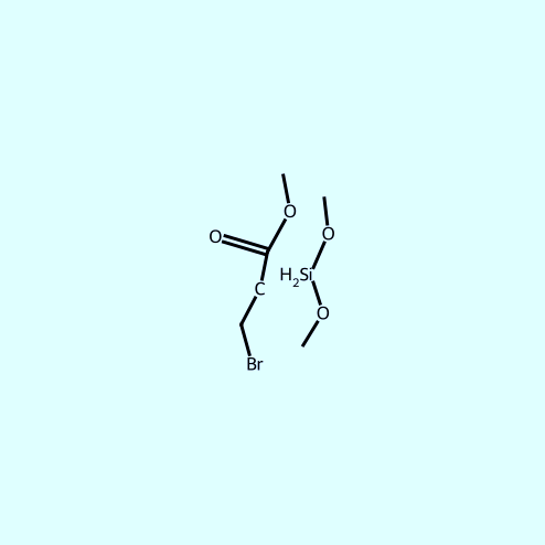 COC(=O)CCBr.CO[SiH2]OC